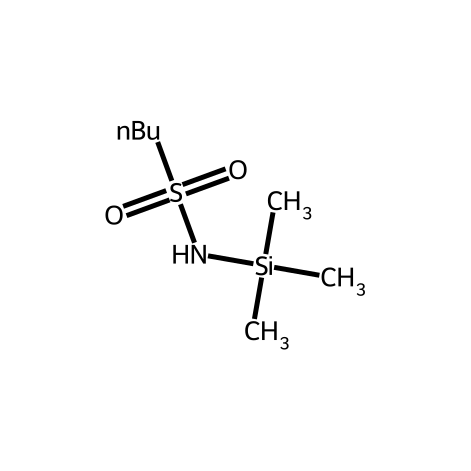 CCCCS(=O)(=O)N[Si](C)(C)C